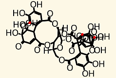 O=C1OC2[C@H]3COC(=O)c4cc(O)c(O)c5c4C4C(=CC(=O)[C@@](O)(O5)C4(O)O)C(=O)O[C@@H]2[C@@H](OC(=O)c2cc(O)c(O)c4c2C2C1=CC(=O)[C@](O)(O4)C2(O)O)[C@H](OC(=O)c1cc(O)c(O)c(O)c1)O3